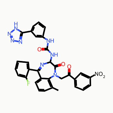 Cc1cccc2c1N(CC(=O)c1cccc([N+](=O)[O-])c1)C(=O)C(NC(=O)Nc1cccc(-c3nnn[nH]3)c1)N=C2c1ccccc1F